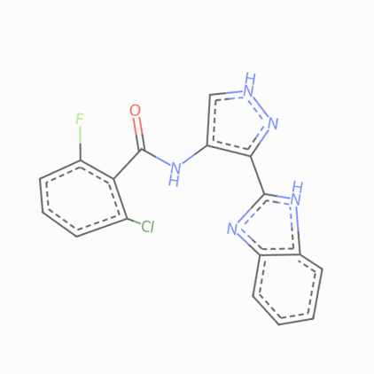 O=C(Nc1c[nH]nc1-c1nc2ccccc2[nH]1)c1c(F)cccc1Cl